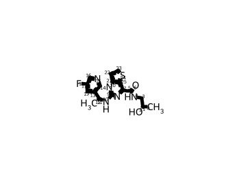 CC(O)CNC(=O)c1nc(NC(C)c2cncc(F)c2)nc2ccsc12